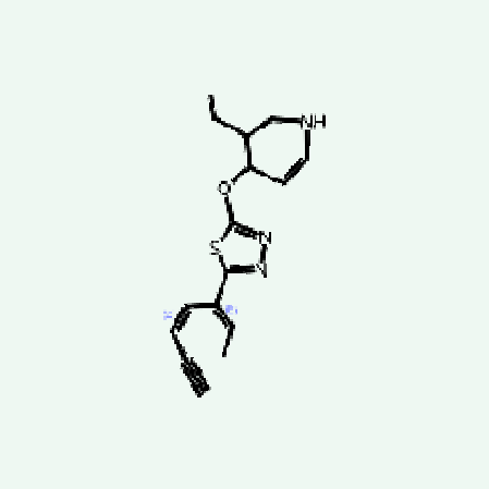 C#C/C=C\C(=C/C)c1nnc(OC2C=CNCC2CC)s1